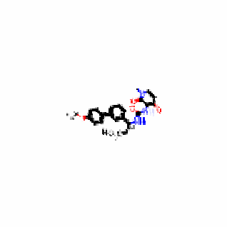 CN1C=CC(=O)C(NC(=O)N[C@@H](CC(=O)O)c2cccc(-c3ccc(OC(F)(F)F)cc3)c2)C1=O